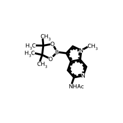 CC(=O)Nc1cc2c(B3OC(C)(C)C(C)(C)O3)cn(C)c2cn1